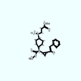 CCC(=Cc1ccccc1)C1CC1N(C(=O)OC(C)(C)C)C1CCC(N(C)CCC(=O)OC)CC1